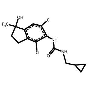 O=C(NCC1CC1)Nc1c(Cl)cc2c(c1Cl)CCC2(O)C(F)(F)F